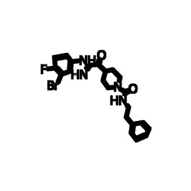 N=C(Nc1ccc(F)c(Br)c1)C(=O)C1CCN(C(=O)NCCc2ccccc2)CC1